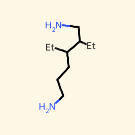 CCC(CN)C(CC)CCCN